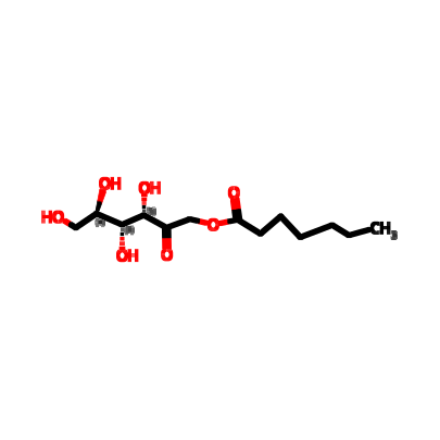 CCCCCCC(=O)OCC(=O)[C@@H](O)[C@H](O)[C@H](O)CO